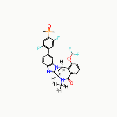 [2H]C([2H])([2H])N1C(=O)c2cccc(OC(F)F)c2[C@H]2C[C@@H]1c1nc3ccc(-c4cc(F)c(P(C)(C)=O)cc4F)cc3n12